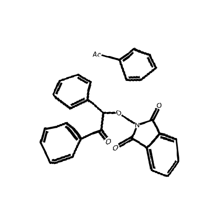 CC(=O)c1ccccc1.O=C(c1ccccc1)C(ON1C(=O)c2ccccc2C1=O)c1ccccc1